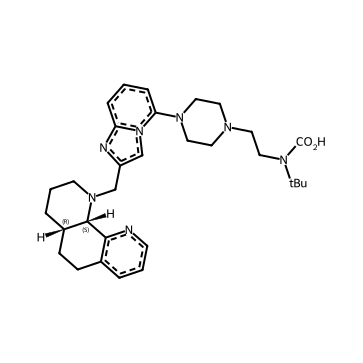 CC(C)(C)N(CCN1CCN(c2cccc3nc(CN4CCC[C@H]5CCc6cccnc6[C@H]54)cn23)CC1)C(=O)O